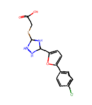 O=C(O)CSC1NNC(c2ccc(-c3ccc(Cl)cc3)o2)N1